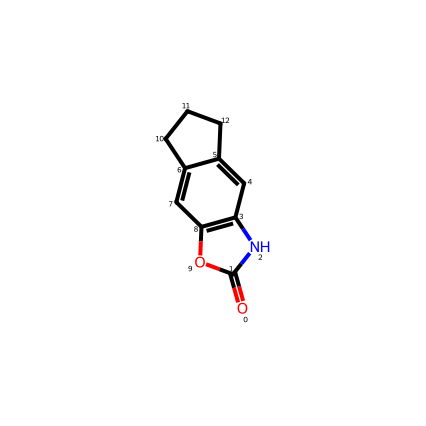 O=c1[nH]c2cc3c(cc2o1)CCC3